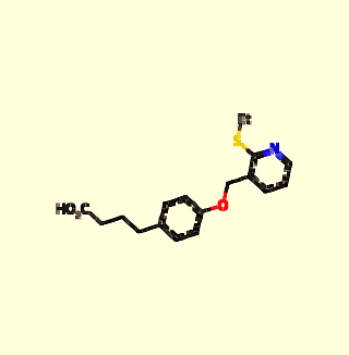 CCSc1ncccc1COc1ccc(CCCC(=O)O)cc1